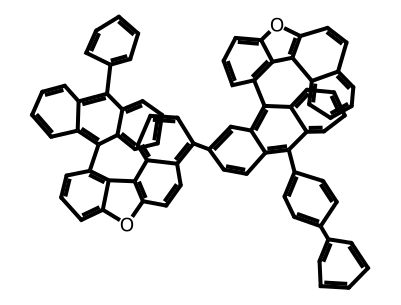 c1ccc(-c2ccc(-c3c4ccccc4c(-c4cccc5oc6ccc7ccccc7c6c45)c4cc(-c5cccc6c5ccc5oc7cccc(-c8c9ccccc9c(-c9ccccc9)c9ccccc89)c7c56)ccc34)cc2)cc1